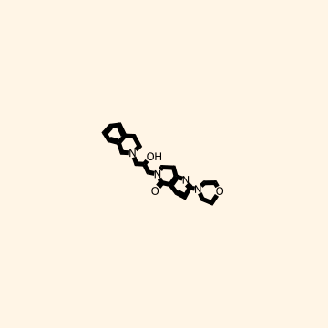 O=C1c2ccc(N3CCOCC3)nc2CCN1CC(O)CN1CCc2ccccc2C1